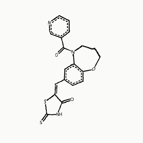 O=C1NC(=S)SC1=Cc1ccc2c(c1)N(C(=O)c1cccnc1)CCCO2